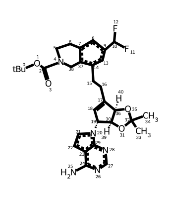 CC(C)(C)OC(=O)N1CCc2cc(C(F)F)cc(CCC3=C[C@@H](n4ccc5c(N)ncnc54)[C@@H]4OC(C)(C)O[C@H]34)c2C1